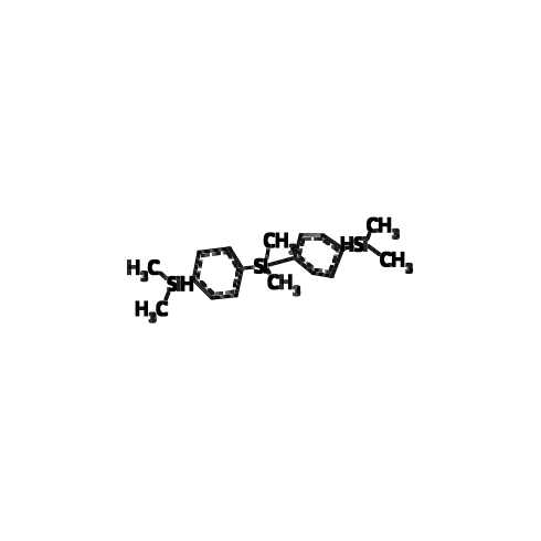 C[SiH](C)c1ccc([Si](C)(C)c2ccc([SiH](C)C)cc2)cc1